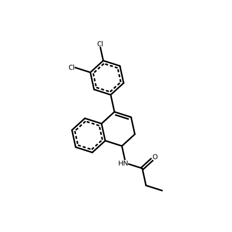 CCC(=O)NC1CC=C(c2ccc(Cl)c(Cl)c2)c2ccccc21